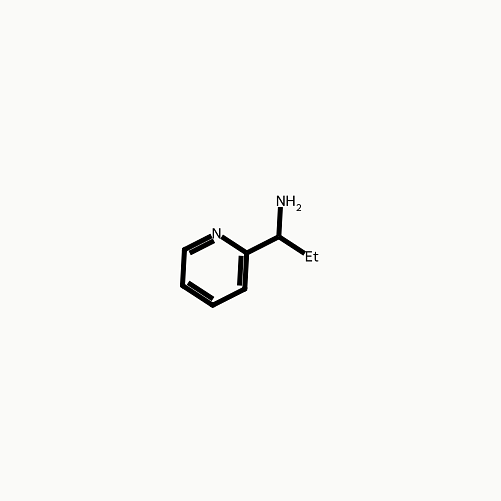 CCC(N)c1ccccn1